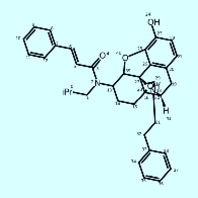 CC(C)CN(C(=O)/C=C/c1ccccc1)C1CC[C@@]2(O)[C@H]3Cc4ccc(O)c5c4[C@@]2(CCN3CCc2ccccc2)C1O5